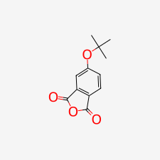 CC(C)(C)Oc1ccc2c(c1)C(=O)OC2=O